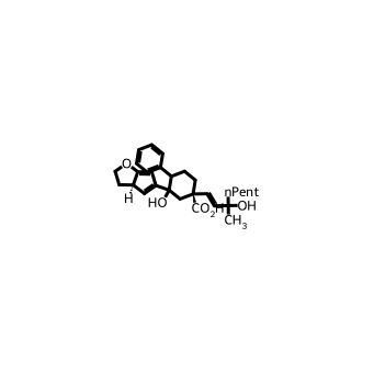 CCCCCC(C)(O)/C=C/[C@@]1(C(=O)O)CCC(c2ccccc2)C(O)(C2=C[C@H]3CCOC3=C2)C1